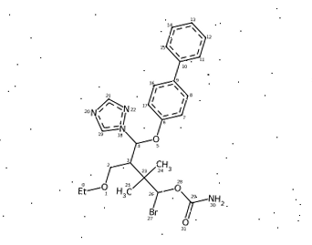 CCOCC(C(Oc1ccc(-c2ccccc2)cc1)n1cncn1)C(C)(C)C(Br)OC(N)=O